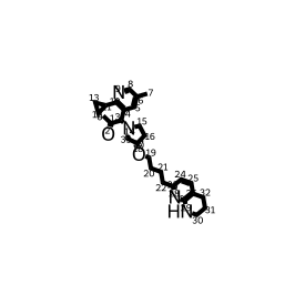 CC(=O)C(c1cc(C)cnc1C1CC1)N1CC[C@@H](OCCCCc2ccc3c(n2)NCCC3)C1